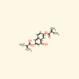 C=C(C)C(=O)Oc1cc(O)c2cc(OC(=O)C(=C)C)ccc2c1